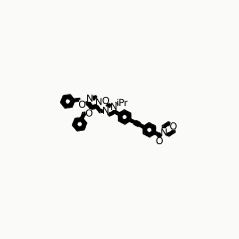 CC(C)N1C(=O)N(Cc2ncnc(OCc3ccccc3)c2OCc2ccccc2)CC1c1ccc(C#Cc2ccc(C(=O)N3CCOCC3)cc2)cc1